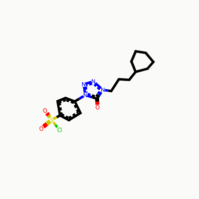 O=c1n(CCCC2CCCCC2)nnn1-c1ccc(S(=O)(=O)Cl)cc1